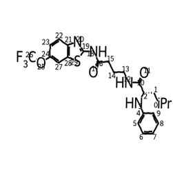 CC(C)C[C@H](Nc1ccccc1)C(=O)NCCCC(=O)Nc1nc2ccc(OC(F)(F)F)cc2s1